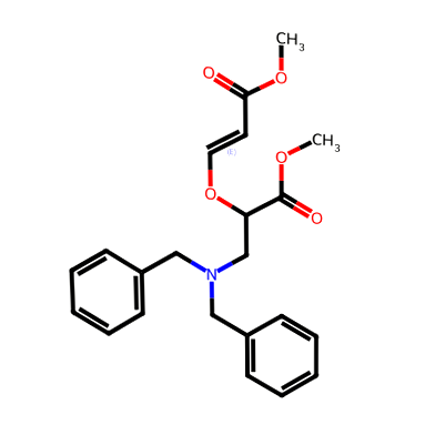 COC(=O)/C=C/OC(CN(Cc1ccccc1)Cc1ccccc1)C(=O)OC